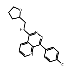 Clc1ccc(-c2nnc(NCC3CCCO3)c3cccnc23)cc1